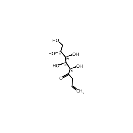 C=CCC(=O)[C@H](O)[C@@H](O)[C@H](O)[C@H](O)CO